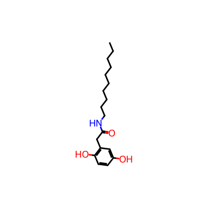 CCCCCCCCCCNC(=O)Cc1cc(O)ccc1O